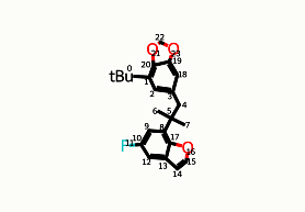 CC(C)(C)c1cc(CC(C)(C)c2cc(F)cc3ccoc23)cc2c1OCO2